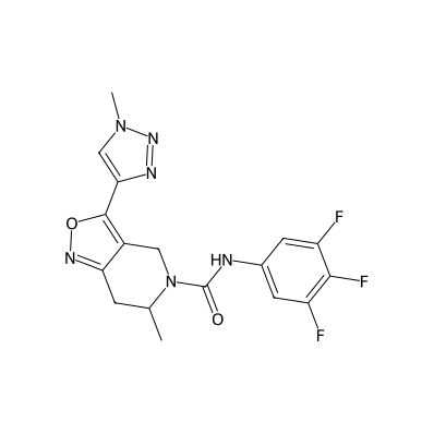 CC1Cc2noc(-c3cn(C)nn3)c2CN1C(=O)Nc1cc(F)c(F)c(F)c1